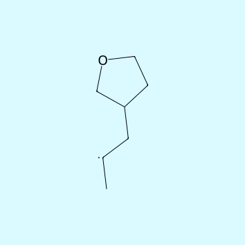 C[CH]CC1CCOC1